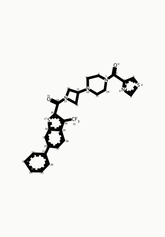 O=C(c1cscn1)N1CCN(C2CN(C(=O)c3sc4cc(-c5ccccc5)ccc4c3C(F)(F)F)C2)CC1